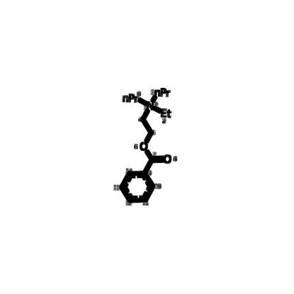 CCC[N+](CC)(CCC)CCOC(=O)c1ccccc1